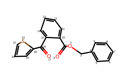 O=C(OCc1ccccc1)c1ccccc1C(=O)c1cccs1